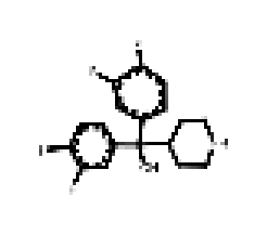 OC(c1ccc(F)c(F)c1)(c1ccc(F)c(F)c1)C1CCNCC1